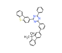 CC1(C)c2ccccc2-c2ccc(-c3cccc(-c4nc(-c5ccccc5)nc(-c5ccc6sc7ccccc7c6c5)n4)c3)cc21